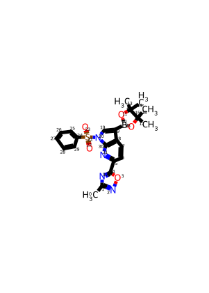 Cc1noc(-c2ccc3c(B4OC(C)(C)C(C)(C)O4)cn(S(=O)(=O)c4ccccc4)c3n2)n1